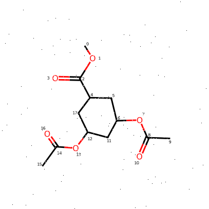 COC(=O)C1CC(OC(C)=O)CC(OC(C)=O)C1